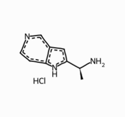 C[C@H](N)c1cc2cnccc2[nH]1.Cl